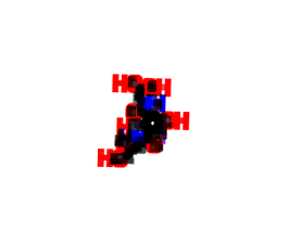 O=C(NCC(O)O)c1c(I)c(O)c(I)c(C(=O)NCC(O)CO)c1I